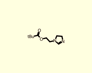 CC(C)(C)C(=O)OCCN1C=NCC1